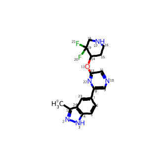 Cc1n[nH]c2ccc(-c3cncc(OC4CCNCC4(F)F)n3)cc12